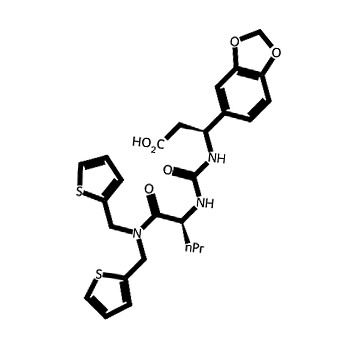 CCC[C@H](NC(=O)N[C@@H](CC(=O)O)c1ccc2c(c1)OCO2)C(=O)N(Cc1cccs1)Cc1cccs1